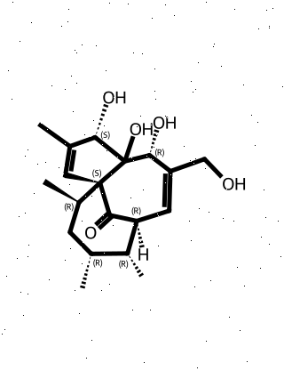 CC1=C[C@]23C(=O)[C@@H](C=C(CO)[C@@H](O)C2(O)[C@H]1O)[C@H](C)[C@H](C)C[C@H]3C